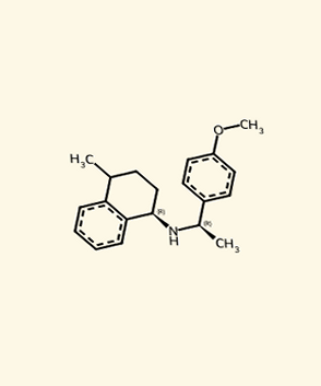 COc1ccc([C@@H](C)N[C@@H]2CCC(C)c3ccccc32)cc1